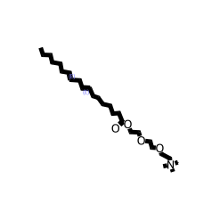 CCCCCC/C=C/C/C=C/CCCCCCC(=O)OCCOCCOCC[N+](C)(C)C